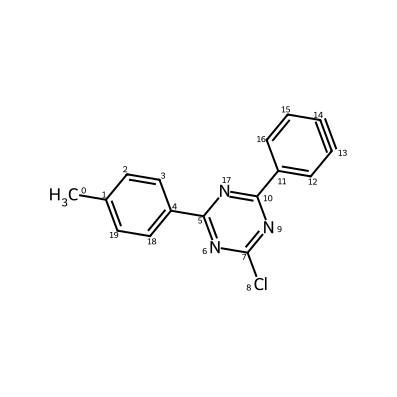 Cc1ccc(-c2nc(Cl)nc(-c3cc#ccc3)n2)cc1